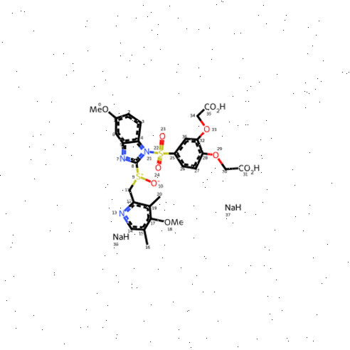 COc1ccc2c(c1)nc([S+]([O-])Cc1ncc(C)c(OC)c1C)n2S(=O)(=O)c1ccc(OCC(=O)O)c(OCC(=O)O)c1.[NaH].[NaH]